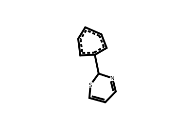 C1=CSC(c2ccccc2)N=C1